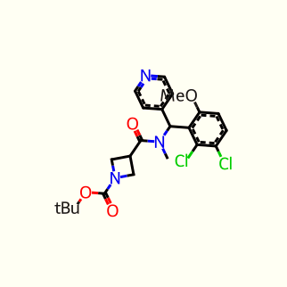 COc1ccc(Cl)c(Cl)c1C(c1ccncc1)N(C)C(=O)C1CN(C(=O)OC(C)(C)C)C1